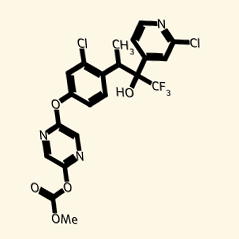 COC(=O)Oc1cnc(Oc2ccc(C(C)C(O)(c3ccnc(Cl)c3)C(F)(F)F)c(Cl)c2)cn1